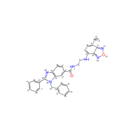 O=C(NCCNc1ccc([N+](=O)[O-])c2nonc12)c1ccc2nc(-c3ccccc3)n(Cc3ccccc3)c2c1